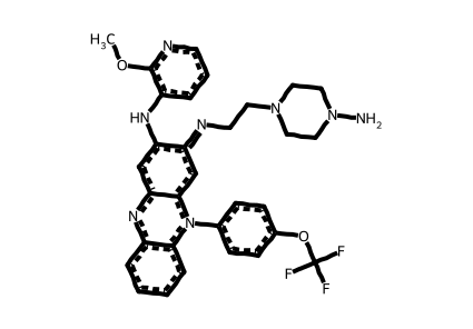 COc1ncccc1Nc1cc2nc3ccccc3n(-c3ccc(OC(F)(F)F)cc3)c-2cc1=NCCN1CCN(N)CC1